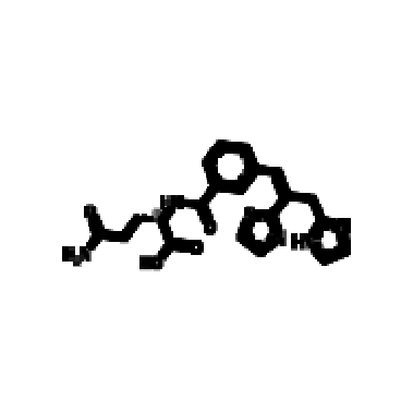 NC(=O)CC[C@H](NC(=O)c1cccc(C=C(Cc2ncc[nH]2)c2nccs2)c1)C(=O)O